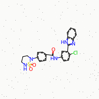 O=C(Nc1ccc(Cl)c(-c2nc3ccccc3[nH]2)c1)c1ccc(N2CCCNS2(=O)=O)cc1